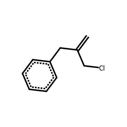 C=C(CCl)Cc1ccccc1